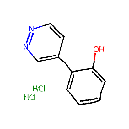 Cl.Cl.Oc1ccccc1-c1ccnnc1